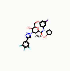 CO[C@@H]1[C@@H](n2cc(-c3cc(F)c(F)c(F)c3)nn2)[C@@H](O)[C@@H](CO)O[C@H]1C(=O)N(c1cccc(I)c1)[C@@H]1CCC[C@H]1O